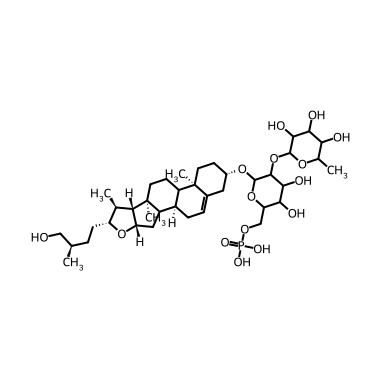 CC1OC(OC2C(O[C@H]3CC[C@@]4(C)C(=CC[C@@H]5C4CC[C@@]4(C)C5C[C@@H]5O[C@H](CC[C@@H](C)CO)[C@@H](C)[C@@H]54)C3)OC(COP(=O)(O)O)C(O)C2O)C(O)C(O)C1O